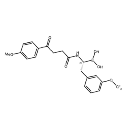 COc1ccc(C(=O)CCC(=O)N[C@@H](Cc2cccc(OC(F)(F)F)c2)B(O)O)cc1